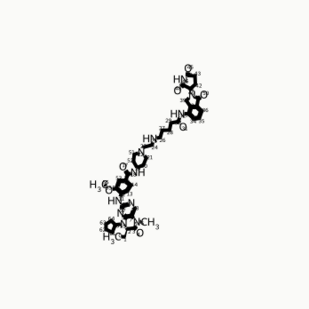 CC[C@@H]1C(=O)N(C)c2cnc(Nc3ccc(C(=O)NC4CCN(CCNCCCCC(=O)Nc5cccc6c5CN(C5CCC(=O)NC5=O)C6=O)CC4)cc3OC)nc2N1C1CCCC1